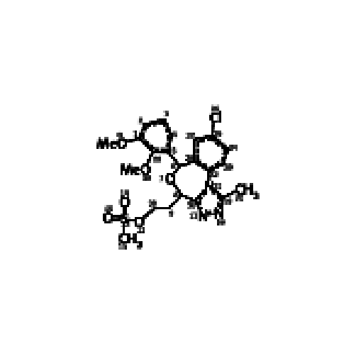 COc1cccc(C2OC(CCOS(C)(=O)=O)c3nnc(C)n3-c3ccc(Cl)cc32)c1OC